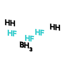 B.F.F.F.[HH].[HH]